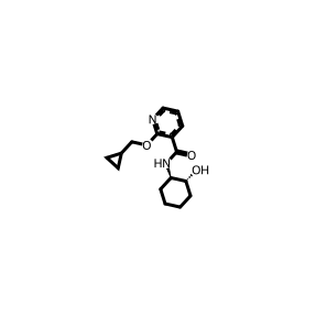 O=C(N[C@@H]1CCCC[C@H]1O)c1cccnc1OCC1CC1